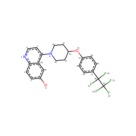 [O]c1ccc2nccc(N3CCC(Oc4ccc(C(F)(F)C(F)(F)F)cc4)CC3)c2c1